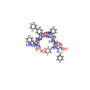 O=C1COc2ccc(cc2)C[C@H](C(=O)N[C@H](CCc2ccccc2)C(=O)O)NC(=O)[C@H](Cc2ccccc2F)NC(=O)[C@@H](Cc2ccc(-c3ccccc3)cc2)NC(=O)[C@H](Cc2c[nH]c3ccccc23)N1